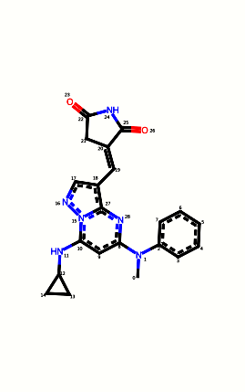 CN(c1ccccc1)c1cc(NC2CC2)n2ncc(/C=C3\CC(=O)NC3=O)c2n1